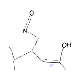 C/C(O)=C/C(CN=O)C(C)C